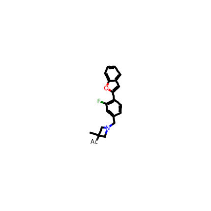 CC(=O)C1(C)CN(Cc2ccc(-c3cc4ccccc4o3)c(F)c2)C1